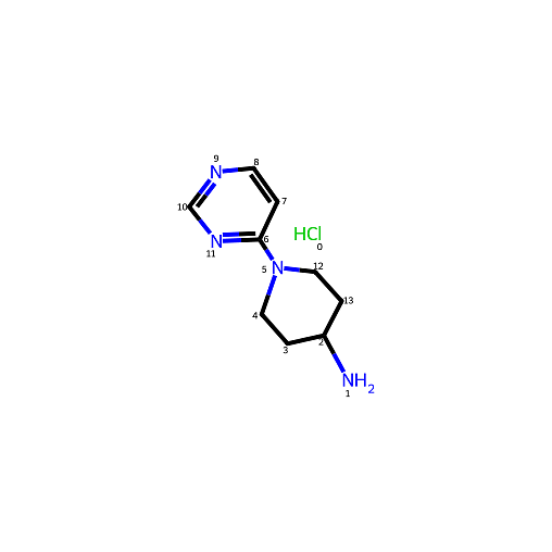 Cl.NC1CCN(c2ccncn2)CC1